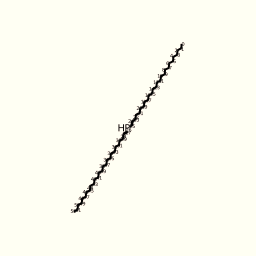 CCCCCCCCCCCCCCCCCCCCCCCCC=CPC=CCCCCCCCCCCCCCCCCCCCCCCCC